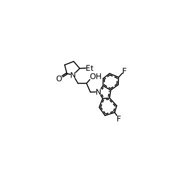 CCC1CCC(=O)N1CC(O)Cn1c2ccc(F)cc2c2cc(F)ccc21